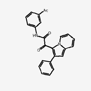 CC(=O)c1cccc(NC(=O)C(=O)c2c(-c3ccccc3)cc3ccccn23)c1